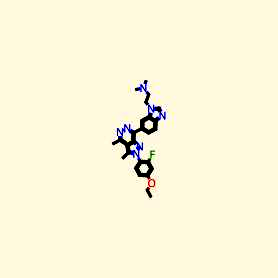 CCOc1ccc(-n2nc3c(-c4ccc5ncn(CCN(C)C)c5c4)nnc(C)c3c2C)c(F)c1